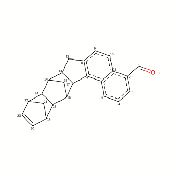 O=Cc1cccc2c3c(ccc12)CC1C2CC(C31)C1C3C=CC(C3)C21